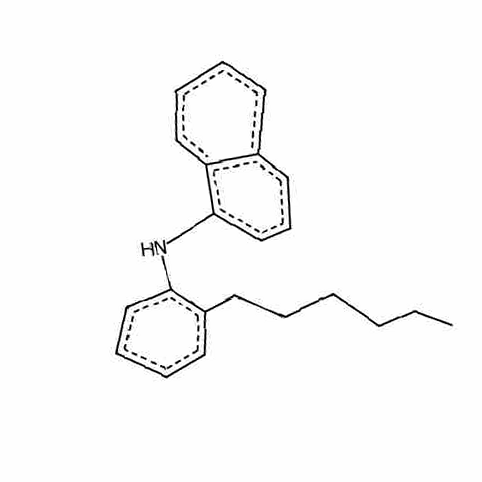 CCCCCCc1ccccc1Nc1cccc2ccccc12